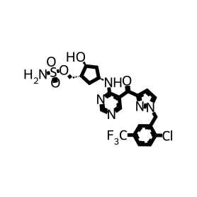 NS(=O)(=O)OC[C@H]1C[C@@H](Nc2ncncc2C(=O)c2ccn(Cc3cc(C(F)(F)F)ccc3Cl)n2)C[C@@H]1O